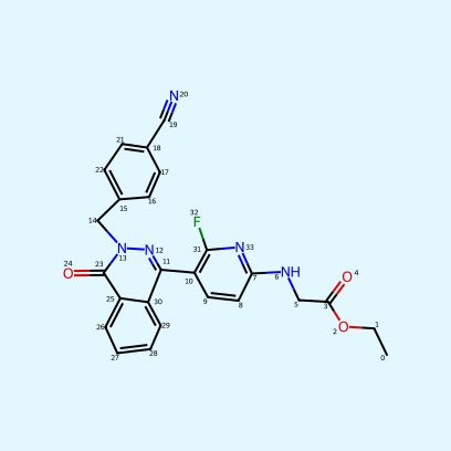 CCOC(=O)CNc1ccc(-c2nn(Cc3ccc(C#N)cc3)c(=O)c3ccccc23)c(F)n1